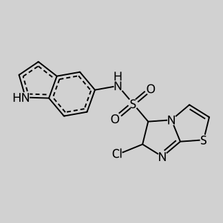 O=S(=O)(Nc1ccc2[nH]ccc2c1)C1C(Cl)N=C2SC=CN21